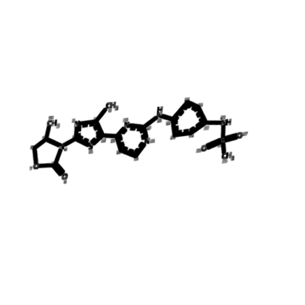 Cc1nc(N2C(=O)OCC2C)sc1-c1ccnc(Nc2ccc(NS(C)(=O)=O)cc2)n1